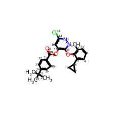 Cc1cccc(C2CC2)c1Oc1nnc(Cl)cc1OC(=O)c1ccc(C(C)(C)C)cc1